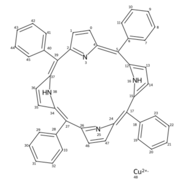 C1=Cc2nc1c(-c1ccccc1)c1ccc([nH]1)c(-c1ccccc1)c1nc(c(-c3ccccc3)c3ccc([nH]3)c2-c2ccccc2)C=C1.[Cu+2]